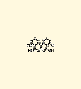 O=C(c1cccc(Cl)c1C(=O)O)c1cccc(Cl)c1C(=O)O